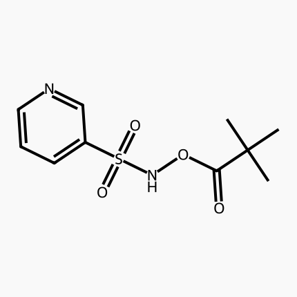 CC(C)(C)C(=O)ONS(=O)(=O)c1cccnc1